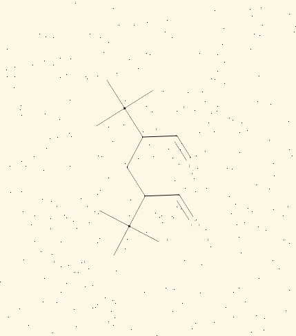 CC(C)(C)C(C=O)CC(C=O)C(C)(C)C